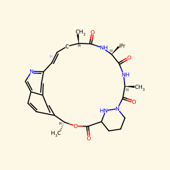 CC(C)[C@@H]1NC(=O)[C@H](C)C/C=C/c2cc3cc(ccc3cn2)[C@@H](C)OC(=O)C2CCCN(N2)C(=O)[C@H](C)NC1=O